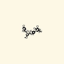 CO[C@@H]1C[C@H](C(=O)Nc2ccc(-n3cc(C(F)(F)F)cc(Cl)c3=O)cc2F)N(C(=O)Nc2ccc(Cl)cn2)C1